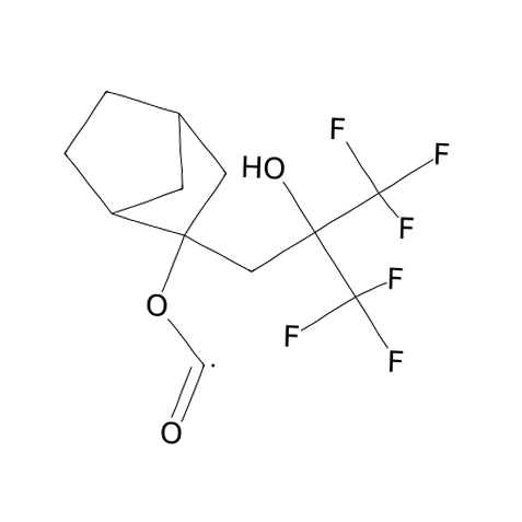 O=[C]OC1(CC(O)(C(F)(F)F)C(F)(F)F)CC2CCC1C2